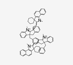 CN1/C(=C/C=C/C2=[N+](C)c3ccccc3C2(Cc2ccccc2)Cc2ccc(CC3(Cc4ccccc4)C(/C=C/C=C4/N(C)c5c(ccc6ccccc56)C45CCCCC5)=[N+](C)c4ccccc43)cc2)C2(CCCCC2)c2ccc3ccccc3c21